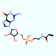 C=CC(=O)NCCOP(=O)(O)OC[C@H]1O[C@@H](n2cnc3c(=O)[nH]c(N)nc32)[C@H](O)[C@@H]1O